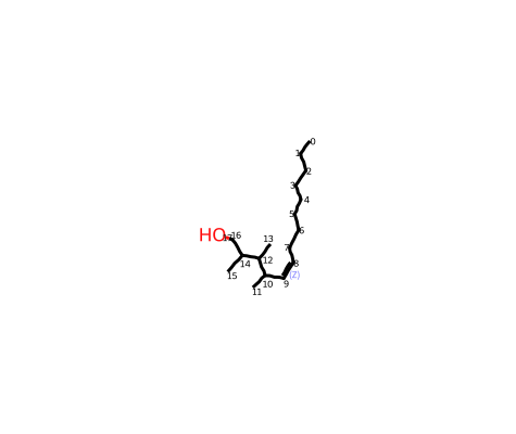 CCCCCCCC/C=C\C(C)C(C)C(C)CO